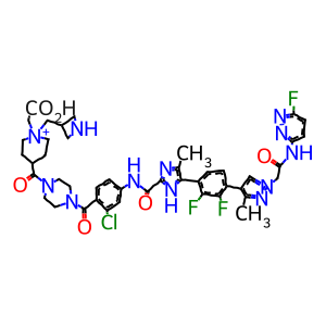 Cc1nn(CC(=O)Nc2ccc(F)nn2)cc1-c1ccc(-c2[nH]c(C(=O)Nc3ccc(C(=O)N4CCN(C(=O)C5CC[N+](CC(=O)O)(CC6CNC6)CC5)CC4)c(Cl)c3)nc2C)c(F)c1F